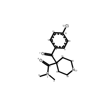 CN(C)C(=O)C1(C(=O)c2ccc(Cl)cc2)CC[N]CC1